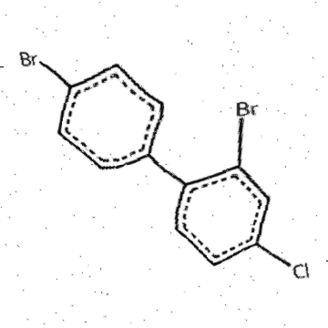 Clc1ccc(-c2ccc(Br)cc2)c(Br)c1